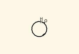 O=C1CCC/C=C\CCCCCCCCCN1